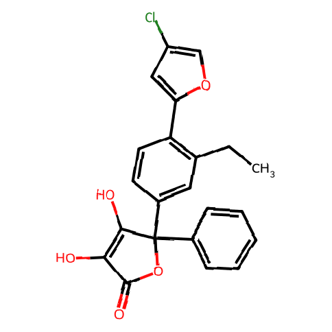 CCc1cc(C2(c3ccccc3)OC(=O)C(O)=C2O)ccc1-c1cc(Cl)co1